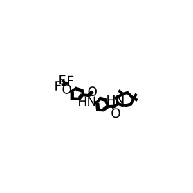 CC1(C)CC2NC(C)(CC2C(=O)c2ccc(NC(=O)c3ccc(OC(F)(F)F)cc3)cc2)C1